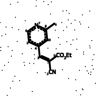 CCOC(=O)/C(C#N)=C\c1ccnc(C)c1